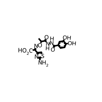 CC(ON=C(C(=O)O)c1csc(N)n1)C(=O)NNC(=O)c1ccc(O)c(O)c1